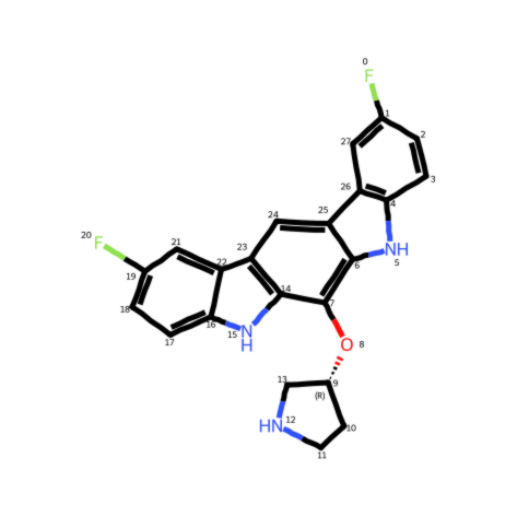 Fc1ccc2[nH]c3c(O[C@@H]4CCNC4)c4[nH]c5ccc(F)cc5c4cc3c2c1